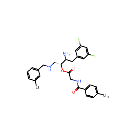 CCc1cccc(CNC[C@@H](OC(=O)CNC(=O)c2ccc(C(F)(F)F)cc2)[C@@H](N)Cc2cc(F)cc(F)c2)c1